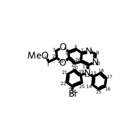 COCC1COc2cc3ncnc(N(c4ccccc4)c4cccc(Br)c4)c3cc2O1